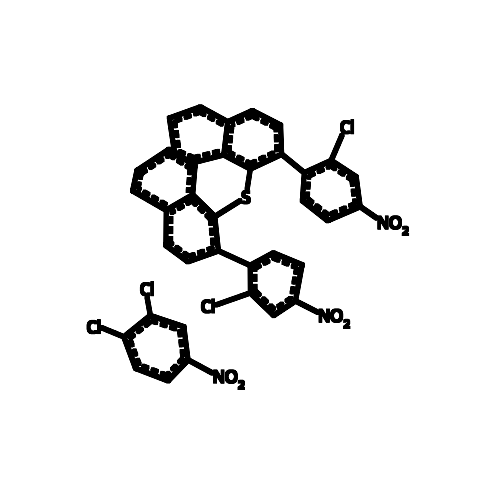 O=[N+]([O-])c1ccc(-c2ccc3ccccc3c2Sc2c(-c3ccc([N+](=O)[O-])cc3Cl)ccc3ccccc23)c(Cl)c1.O=[N+]([O-])c1ccc(Cl)c(Cl)c1